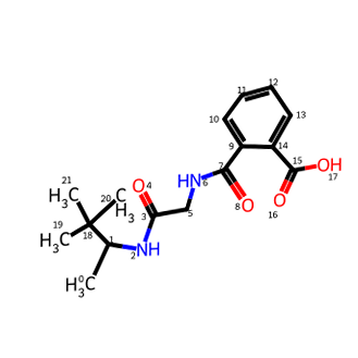 CC(NC(=O)CNC(=O)c1ccccc1C(=O)O)C(C)(C)C